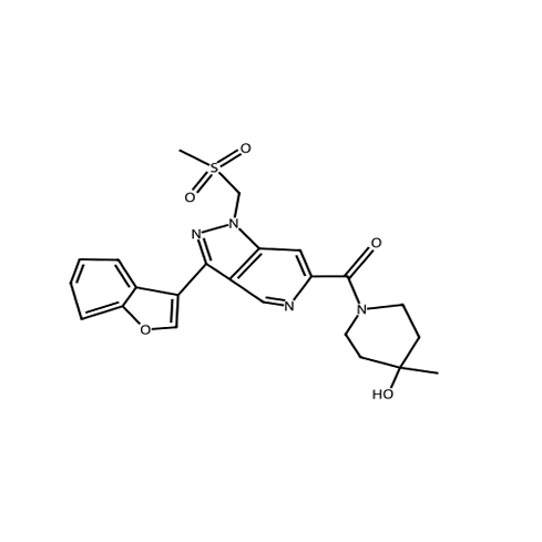 CC1(O)CCN(C(=O)c2cc3c(cn2)c(-c2coc4ccccc24)nn3CS(C)(=O)=O)CC1